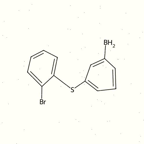 Bc1cccc(Sc2ccccc2Br)c1